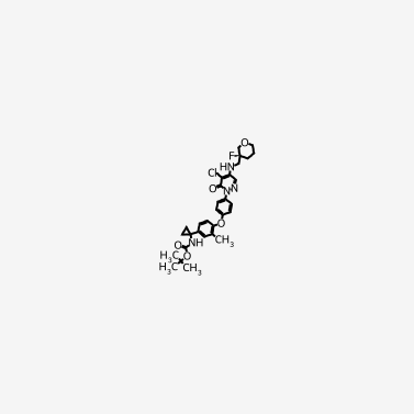 Cc1cc(C2(NC(=O)OC(C)(C)C)CC2)ccc1Oc1ccc(-n2ncc(NC[C@@]3(F)CCCOC3)c(Cl)c2=O)cc1